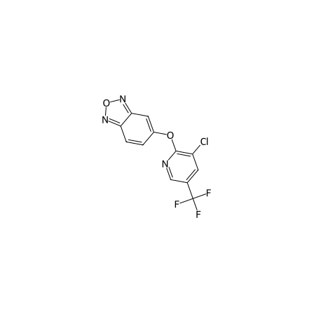 FC(F)(F)c1cnc(Oc2ccc3nonc3c2)c(Cl)c1